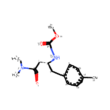 CN(C)C(=O)C[C@@H](Cc1ccc(C#N)cc1)NC(=O)OC(C)(C)C